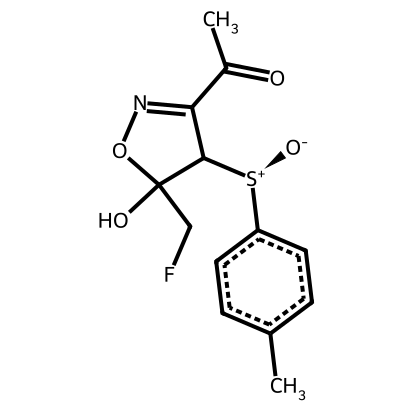 CC(=O)C1=NOC(O)(CF)C1[S@@+]([O-])c1ccc(C)cc1